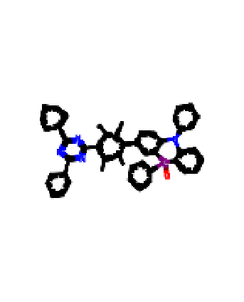 Cc1c(C)c(-c2nc(-c3ccccc3)nc(-c3ccccc3)n2)c(C)c(C)c1-c1ccc2c(c1)P(=O)(c1ccccc1)c1ccccc1N2c1ccccc1